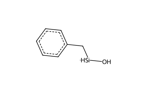 O[SiH]Cc1ccccc1